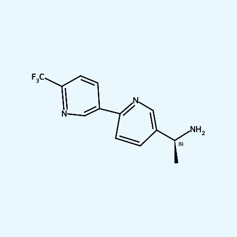 C[C@H](N)c1ccc(-c2ccc(C(F)(F)F)nc2)nc1